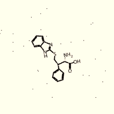 N[C@H](C(=O)O)C(CSc1nc2ccccc2[nH]1)c1ccccc1